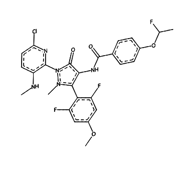 CNc1ccc(Cl)nc1-n1c(=O)c(NC(=O)c2ccc(OC(C)F)cc2)c(-c2c(F)cc(OC)cc2F)n1C